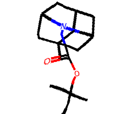 CC12CC3CC(C1)N(C(=O)OC(C)(C)C)C(C3)C2